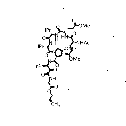 C=CCOC(=O)CNC(=O)C(=O)C(CCC)NC(=O)[C@@H]1C[C@@H](OC)CN1C(=O)[C@@H](NC(=O)[C@@H](NC(=O)[C@H](CCC(=O)OC)NC(=O)[C@H](CCC(=O)OC)NC(C)=O)C(C)C)C(C)C